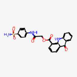 NS(=O)(=O)c1ccc(NC(=O)COC(=O)c2cccc3c(=O)c4ccccc4[nH]c23)cc1